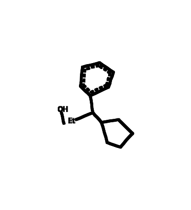 CCC(c1ccccc1)C1CCCC1.CO